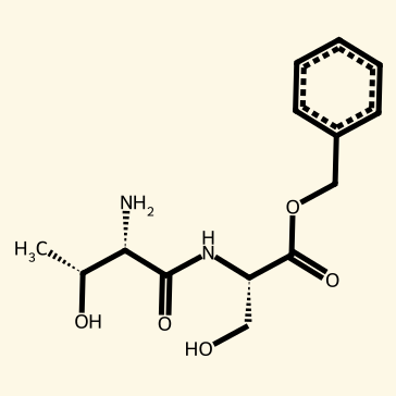 C[C@@H](O)[C@H](N)C(=O)N[C@@H](CO)C(=O)OCc1ccccc1